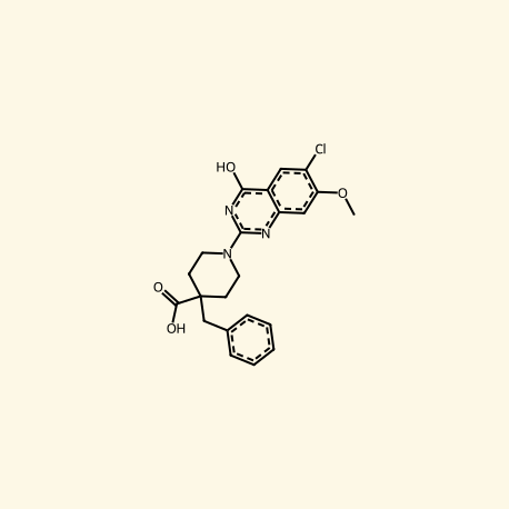 COc1cc2nc(N3CCC(Cc4ccccc4)(C(=O)O)CC3)nc(O)c2cc1Cl